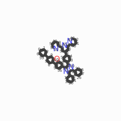 c1ccc(-c2ccc3c(c2)oc2cc(-c4nc(-c5ccccc5)c(-c5ccccc5)nc4-c4ccc(-c5cc(-c6ccccn6)nc(-c6ccccn6)c5)cc4)ccc23)cc1